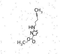 CC#CCCCNc1nc(C(=O)OCC)cs1